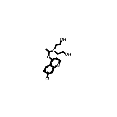 CC(Oc1ccnc2cc(Cl)ccc12)N(CCO)CCO